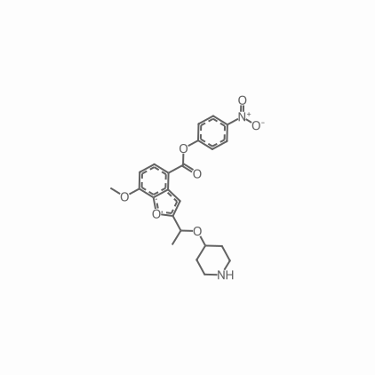 COc1ccc(C(=O)Oc2ccc([N+](=O)[O-])cc2)c2cc(C(C)OC3CCNCC3)oc12